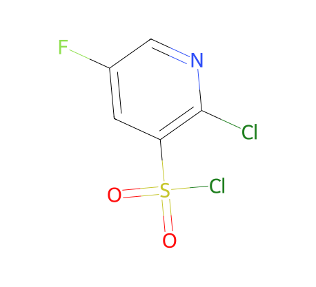 O=S(=O)(Cl)c1cc(F)cnc1Cl